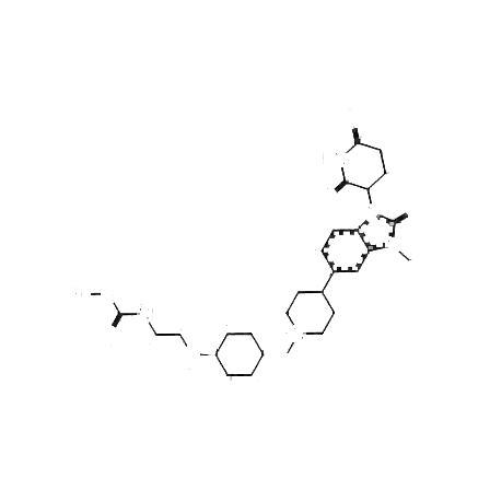 Cn1c(=O)n(C2CCC(=O)NC2=O)c2ccc(C3CCN(C[C@H]4CC[C@H](OCCNC(=O)OC(C)(C)C)CC4)CC3)cc21